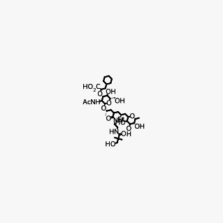 CC[C@H](CC(C[C@H](C)O[C@@H]1O[C@@H](CO)C(O)C(O[C@@H](CC2CCCCC2)C(=O)O)C1NC(C)=O)C(=O)NCCNC(=O)C(C)(C)CO)CC1OC(C)C(O)C(O)C1O